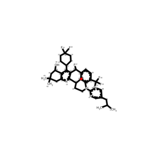 CC(C)Cc1cnc(N2CCC(c3nc4c(c(C5CCC(F)(F)CC5)c3C(F)c3ccc(C(F)(F)F)cc3)C(O)CC(C)(C)C4)CC2)nc1